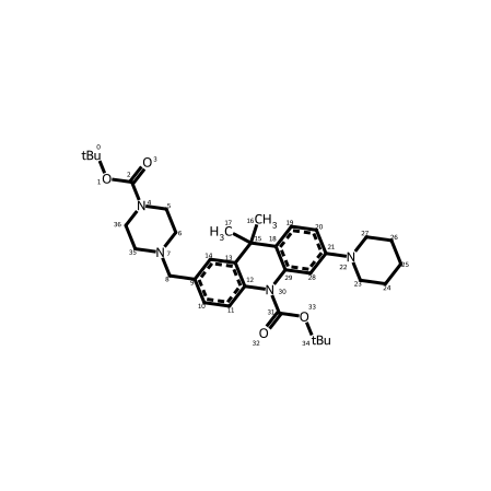 CC(C)(C)OC(=O)N1CCN(Cc2ccc3c(c2)C(C)(C)c2ccc(N4CCCCC4)cc2N3C(=O)OC(C)(C)C)CC1